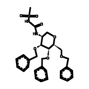 CS(=O)(=O)NC(=O)N[C@@H]1CO[C@H](COCc2ccccc2)[C@H](OCc2ccccc2)[C@@H]1OCc1ccccc1